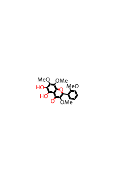 COc1ccccc1-c1oc2c(OC)c(OC)c(O)c(O)c2c(=O)c1OC